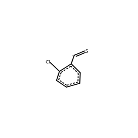 S=[C]c1ccccc1Cl